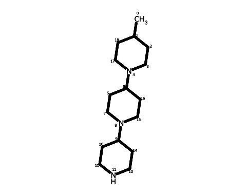 CC1CCN(C2CCN(C3CCNCC3)CC2)CC1